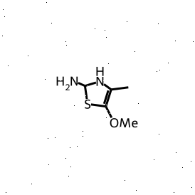 COC1=C(C)NC(N)S1